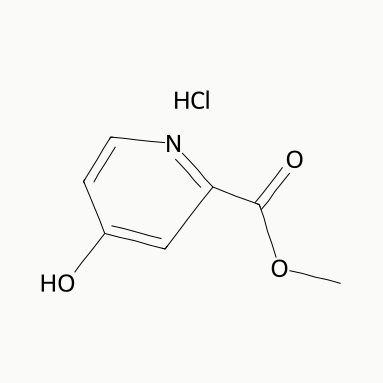 COC(=O)c1cc(O)ccn1.Cl